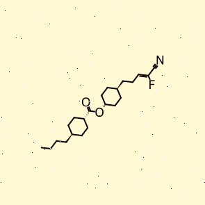 CCCC[C@H]1CC[C@H](C(=O)O[C@H]2CC[C@H](CCC=C(F)C#N)CC2)CC1